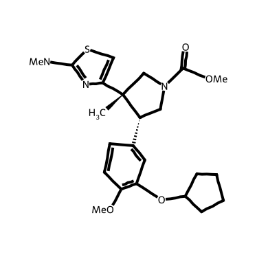 CNc1nc([C@]2(C)CN(C(=O)OC)C[C@@H]2c2ccc(OC)c(OC3CCCC3)c2)cs1